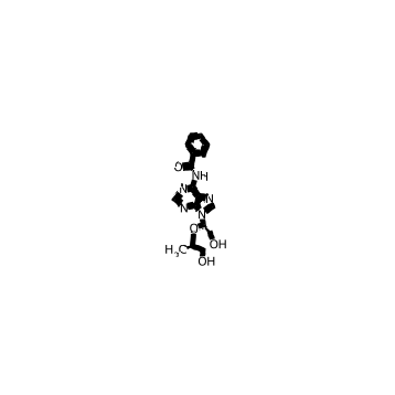 C[C@H](CO)O[C@H](CO)n1cnc2c(NC(=O)c3ccccc3)ncnc21